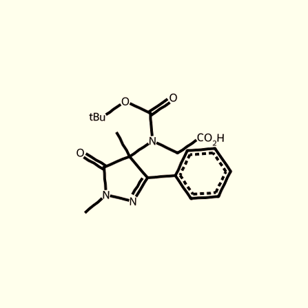 CN1N=C(c2ccccc2)C(C)(N(CC(=O)O)C(=O)OC(C)(C)C)C1=O